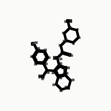 O=C(CN1CCCC(O)C1)Nc1sc2c(c1C(O)c1ccc(Cl)cc1)CCSC2